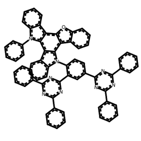 c1ccc(-c2nc(-c3ccccc3)nc(-c3ccc(-n4c5ccccc5c5c6c(c7ccccc7n6-c6ccccc6)c6oc7ccccc7c6c54)c(-c4nc(-c5ccccc5)nc(-c5ccccc5)n4)c3)n2)cc1